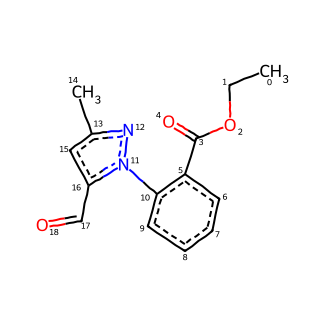 CCOC(=O)c1ccccc1-n1nc(C)cc1C=O